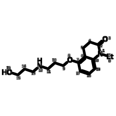 CCN1C(=O)CCc2c(OCCCNCCCO)cccc21